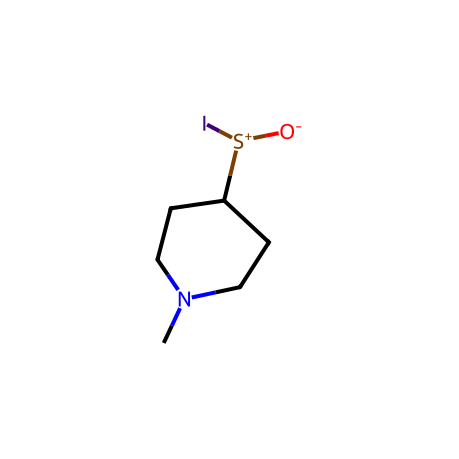 CN1CCC([S+]([O-])I)CC1